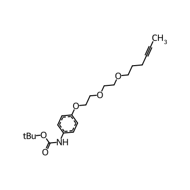 CC#CCCCOCCOCCOc1ccc(NC(=O)OC(C)(C)C)cc1